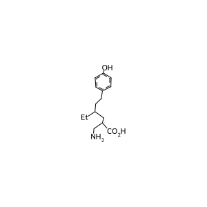 CCC(CCc1ccc(O)cc1)CC(CN)C(=O)O